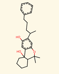 CC(CCCc1ccccc1)c1cc2c(cc1O)C1(O)CCCCC1C(C)(C)O2